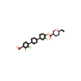 C=CC1CCC(C(=O)Oc2ccc(-c3ccc(-c4ccc(C5CO5)c(F)c4F)cc3)cc2F)CO1